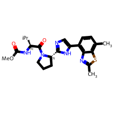 COC(=O)N[C@H](C(=O)N1CCC[C@H]1c1ncc(-c2ccc(C)c3sc(C)nc23)[nH]1)C(C)C